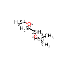 C[SiH](C)O[SiH2][SiH2]O[SiH3]